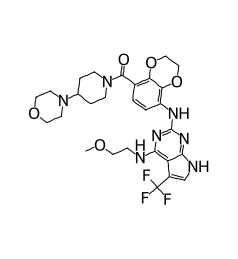 COCCNc1nc(Nc2ccc(C(=O)N3CCC(N4CCOCC4)CC3)c3c2OCCO3)nc2[nH]cc(C(F)(F)F)c12